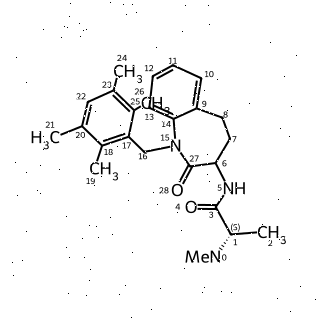 CN[C@@H](C)C(=O)NC1CCc2ccccc2N(Cc2c(C)c(C)cc(C)c2C)C1=O